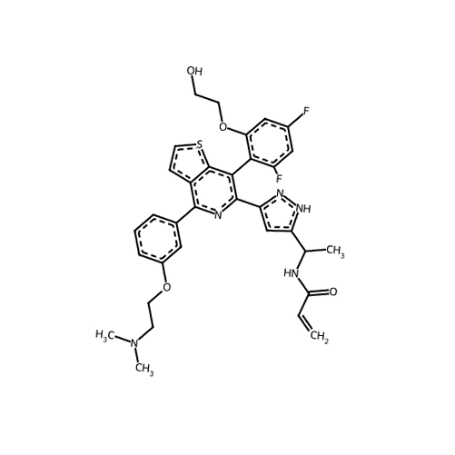 C=CC(=O)NC(C)c1cc(-c2nc(-c3cccc(OCCN(C)C)c3)c3ccsc3c2-c2c(F)cc(F)cc2OCCO)n[nH]1